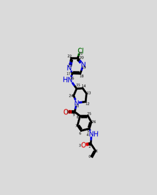 C=CC(=O)Nc1ccc(C(=O)N2CCCC(Nc3cnc(Cl)cn3)C2)cc1